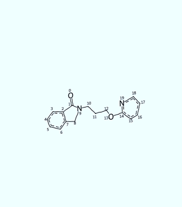 O=C1c2ccccc2CN1CCCOc1ccccn1